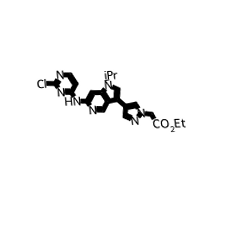 CCOC(=O)Cn1cc(-c2cn(C(C)C)c3cc(Nc4ccnc(Cl)n4)ncc23)cn1